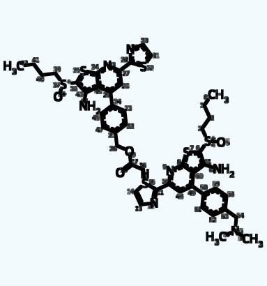 CCCC[S+]([O-])c1sc2nc(C3=NC=C[SH]3CC(=O)OCc3ccc(-c4cc(-c5nccs5)nc5sc([S+]([O-])CCCC)c(N)c45)cc3)cc(-c3ccc(CN(C)C)cc3)c2c1N